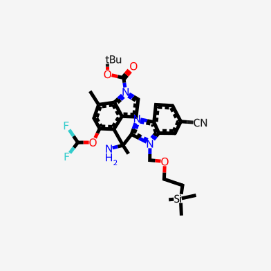 Cc1cc(OC(F)F)c(C(C)(N)c2nc3ccc(C#N)cc3n2COCC[Si](C)(C)C)c2ccn(C(=O)OC(C)(C)C)c12